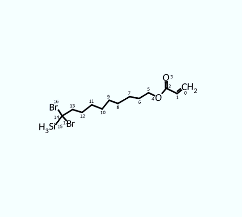 C=CC(=O)OCCCCCCCCCC([SiH3])(Br)Br